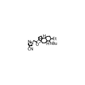 CCCCC1C(CC)CC[C@@H]2[C@@H]1CC[C@]1(C)[C@@H](C(=O)Cn3cc(C#N)cn3)CC[C@@H]21